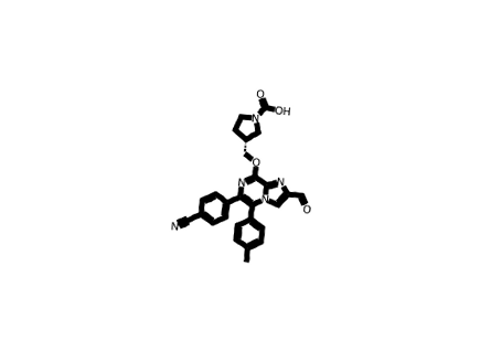 Cc1ccc(-c2c(-c3ccc(C#N)cc3)nc(OC[C@@H]3CCN(C(=O)O)C3)c3nc(C=O)cn23)cc1